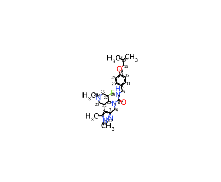 Cc1cc(CN(C(=O)NCc2ccc(OCC(C)C)cc2)[C@H]2CCN(C)C[C@H]2F)nn1C